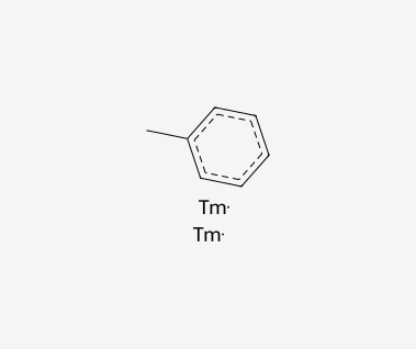 Cc1ccccc1.[Tm].[Tm]